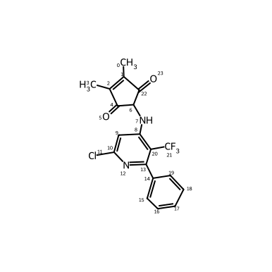 CC1=C(C)C(=O)C(Nc2cc(Cl)nc(-c3ccccc3)c2C(F)(F)F)C1=O